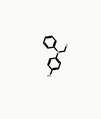 Oc1ccc(N(CCl)c2ccccc2)cc1